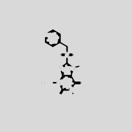 Cn1c(=O)c2c(nc(S(=O)(=O)Cc3ccncc3)n2C)n(C)c1=O